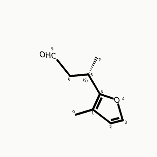 Cc1ccoc1[C@@H](C)CC=O